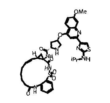 COc1ccc2c(O[C@H]3CN[C@H](C(=O)N[C@]45C[C@H]4/C=C\CCCCC(=O)Nc4ccccc4S(=O)(=O)NC5=O)C3)cc(-c3csc(NC(C)C)n3)nc2c1